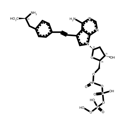 Nc1ncnc2c1c(C#Cc1ccc(C[C@H](N)C(=O)O)cc1)cn2[C@@H]1C[C@H](O)[C@@H](CO[PH](=O)OP(=O)(O)OP(=O)(O)OO)O1